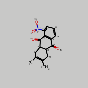 CC1=C(C)CC2C(=O)c3c(cccc3[N+](=O)[O-])C(=O)C2C1